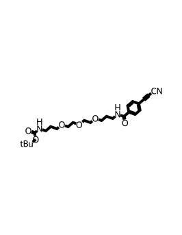 CC(C)(C)OC(=O)NCCCOCCOCCOCCCNC(=O)c1ccc(C#CC#N)cc1